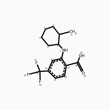 CC1CCCCC1Nc1cc(C(F)(F)F)ccc1C(=O)O